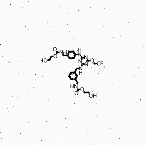 O=C(NCc1ccc(Nc2nc(NCc3cccc(CNC(=O)OCCO)c3)nc(OCC(F)(F)F)n2)cc1)OCCO